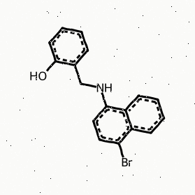 Oc1ccccc1CNc1ccc(Br)c2ccccc12